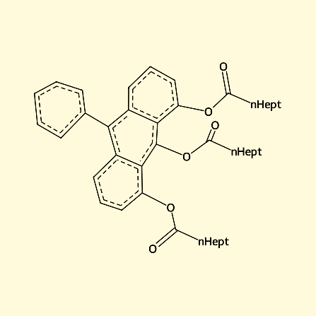 CCCCCCCC(=O)Oc1cccc2c(-c3ccccc3)c3cccc(OC(=O)CCCCCCC)c3c(OC(=O)CCCCCCC)c12